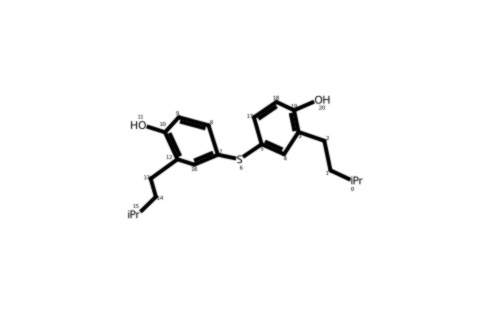 CC(C)CCc1cc(Sc2ccc(O)c(CCC(C)C)c2)ccc1O